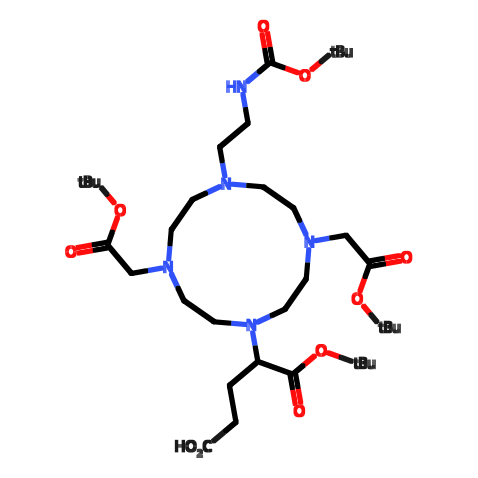 CC(C)(C)OC(=O)CN1CCN(CCNC(=O)OC(C)(C)C)CCN(CC(=O)OC(C)(C)C)CCN(C(CCC(=O)O)C(=O)OC(C)(C)C)CC1